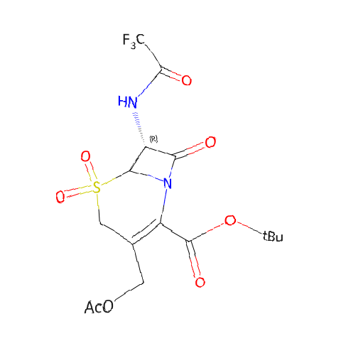 CC(=O)OCC1=C(C(=O)OC(C)(C)C)N2C(=O)[C@@H](NC(=O)C(F)(F)F)C2S(=O)(=O)C1